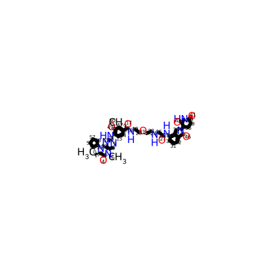 CC[C@@H]1C(=O)N(C)c2cnc(Nc3ccc(C(=O)NCCOCCNCC(=O)Nc4cccc5c4CN(C4CCC(=O)NC4=O)C5=O)cc3OC)nc2N1C1CCCC1